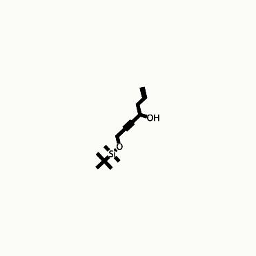 C=CCC(O)C#CCO[Si](C)(C)C(C)(C)C